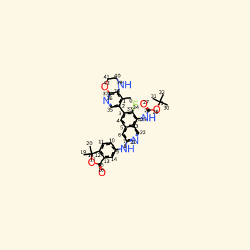 Cc1c(-c2cc3cc(Nc4ccc5c(c4)C(=O)OC5(C)C)ncc3c(NC(=O)OC(C)(C)C)c2F)cnc2c1NCCO2